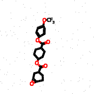 O=C(Oc1ccc(OC(F)(F)F)cc1)C1CCC(OC(=O)C2CCC3OC3C2)CC1